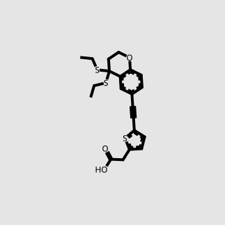 CCSC1(SCC)CCOc2ccc(C#Cc3ccc(CC(=O)O)s3)cc21